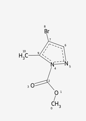 COC(=O)n1ncc(Br)c1C